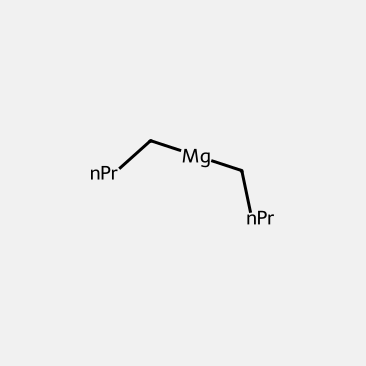 CCC[CH2][Mg][CH2]CCC